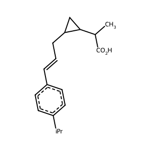 CC(C)c1ccc(C=CCC2CC2C(C)C(=O)O)cc1